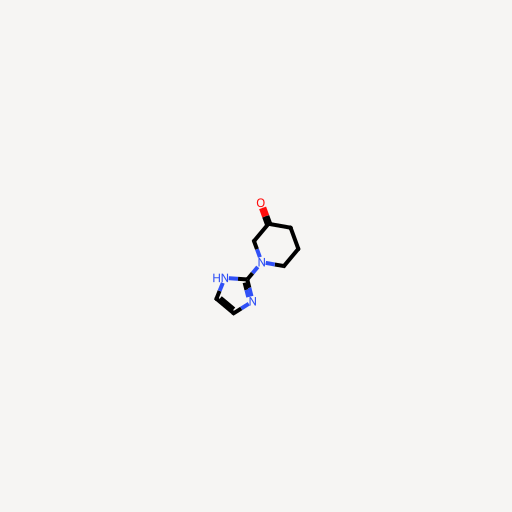 O=C1CCCN(c2ncc[nH]2)C1